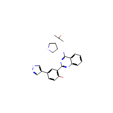 CC(C)(O)[C@H]1CNC[C@H]1Nc1nc(-c2cc(-c3cn[nH]c3)ccc2O)nc2ccccc12